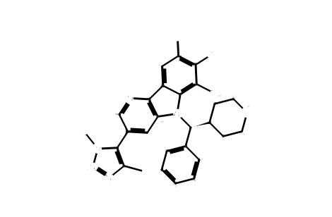 CC(=O)c1c(F)cc2c3ncc(-c4c(C)nnn4C)cc3n([C@H](c3ccccc3)C3CCOCC3)c2c1F